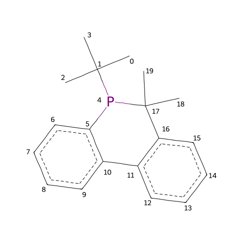 CC(C)(C)P1c2ccccc2-c2ccccc2C1(C)C